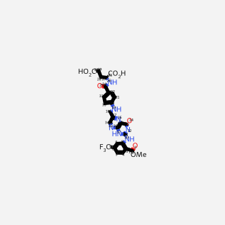 COC(=O)c1ccc(C(F)(F)F)cc1Nc1nc(=O)c2nc(CNc3ccc(C(=O)N[C@@H](CCC(=O)O)C(=O)O)cc3)cnc2[nH]1